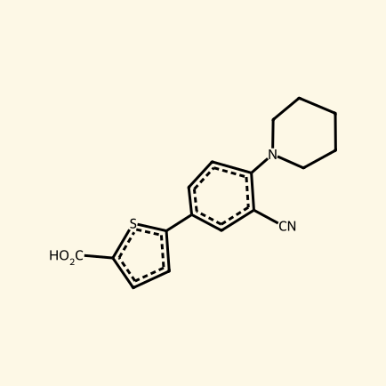 N#Cc1cc(-c2ccc(C(=O)O)s2)ccc1N1CCCCC1